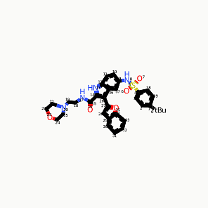 CC(C)(C)c1ccc(S(=O)(=O)Nc2ccc3[nH]c(C(=O)NCCN4CCOCC4)c(-c4cc5ccccc5o4)c3c2)cc1